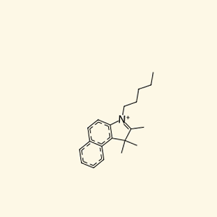 CCCCC[N+]1=C(C)C(C)(C)c2c1ccc1ccccc21